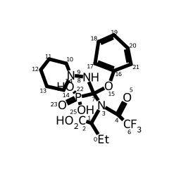 CCC(C(=O)O)N(C(=O)C(F)(F)F)C(NN1CCCCC1)(Oc1ccccc1)P(=O)(O)O